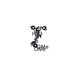 C=N/C(=N\C=C(/C)Oc1ccnc2cc(OC)c(OC)cc12)NC(=O)c1cn(CC2CCSCC2)cc(-c2ccc(C)cc2)c1=O